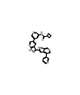 O=C(Nc1cncc(-c2cnc3[nH]nc(-c4cc5c(-c6cccnc6)cncc5[nH]4)c3c2)c1)C1CCC1